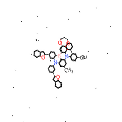 Cc1cc2c3c(c1)N(c1ccc(C(C)(C)C)cc1-c1ccccc1)c1cc4c(cc1B3c1ccc(-c3cc5ccccc5o3)cc1N2c1cccc(-c2cc3ccccc3o2)c1)OCCCO4